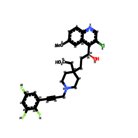 COc1ccc2ncc(Cl)c([C@H](O)CCC3(CC(=O)O)CCN(CC#Cc4cc(F)cc(F)c4F)CC3)c2c1